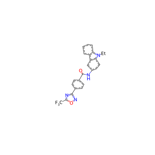 CCn1c2ccccc2c2cc(NC(=O)c3ccc(-c4noc(C(F)(F)F)n4)cc3)ccc21